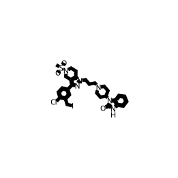 CS(=O)(=O)N1CCc2c(c(-c3ccc(Cl)c(CI)c3)nn2CCCN2CCC(n3c(=O)[nH]c4ccccc43)CC2)C1